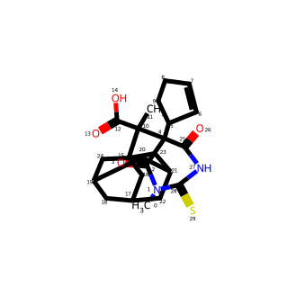 CN1C(=O)C(C2C=CCC2)(C(C)(C(=O)O)C23CC4CC(CC(C4)C2)C3)C(=O)NC1=S